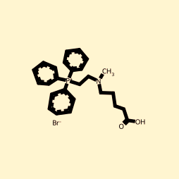 CN(CCCCC(=O)O)CC[P+](c1ccccc1)(c1ccccc1)c1ccccc1.[Br-]